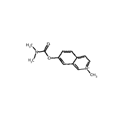 CN(C)C(=O)Oc1ccc2cc[n+](C)cc2c1